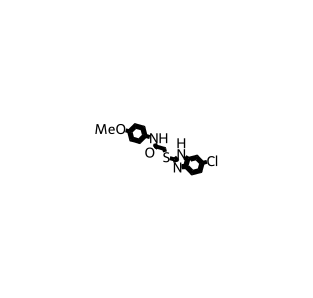 COc1ccc(NC(=O)CSc2nc3ccc(Cl)cc3[nH]2)cc1